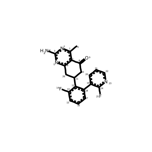 Cc1nc(N)nc2c1C(=O)CC(c1c(F)cccc1-c1cccnc1F)C2